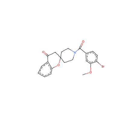 COc1cc(C(=O)N2CCC3(CC2)CC(=O)c2ccccc2O3)ccc1Br